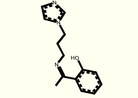 C/C(=N/CCCn1ccnc1)c1ccccc1O